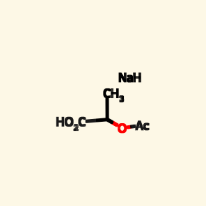 CC(=O)OC(C)C(=O)O.[NaH]